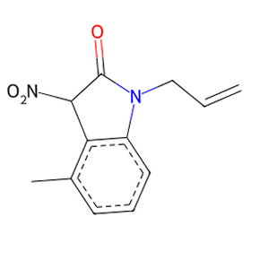 C=CCN1C(=O)C([N+](=O)[O-])c2c(C)cccc21